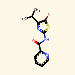 CC(C)c1nc(NC(=O)c2ccccn2)sc1Br